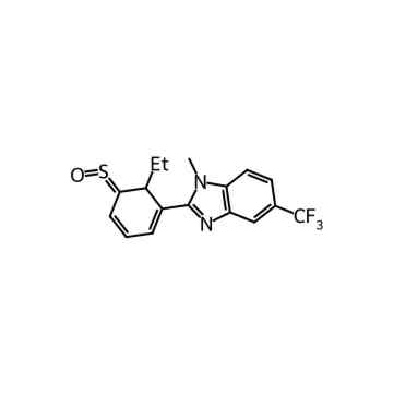 CCC1C(c2nc3cc(C(F)(F)F)ccc3n2C)=CC=CC1=S=O